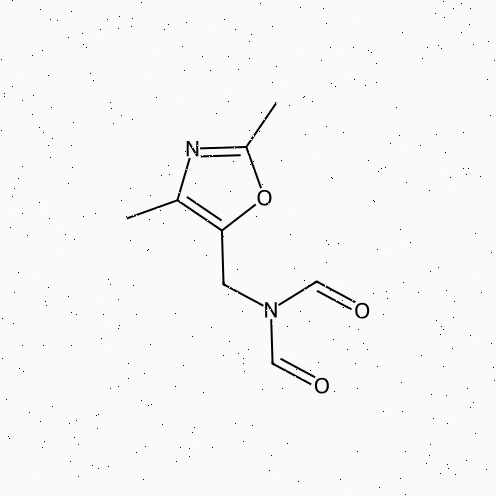 Cc1nc(C)c(CN(C=O)C=O)o1